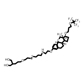 C[C@]12CC[C@@H]3c4ccc(OCCNCCCSSCCOCCCC(CO)CO)cc4CC[C@H]3[C@@H]1CC[C@@H]2OCCCOC(C(F)(F)F)(C(F)(F)F)C(F)(F)F